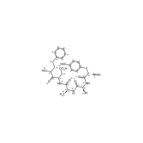 CC(=O)N[C@@H](Cc1ccc(O)cc1)C(=O)N[C@H](C(=O)N[C@@H](C)C(=O)NC(CC(=O)O)C(=O)C(O)CCc1ccccc1)C(C)C